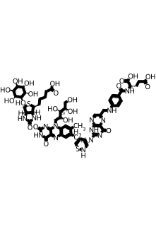 C1=CNSC=C1.Cc1cc2nc3c(=O)[nH]c(=O)nc-3n(C[C@H](O)[C@H](O)[C@H](O)CO)c2cc1C.Nc1nc(=O)c2nc(CNc3ccc(C(=O)N[C@@H](CCC(=O)O)C(=O)O)cc3)cnc2[nH]1.O=C(O)CCCC[C@@H]1SC[C@@H]2NC(=O)N[C@@H]21.O[C@H]1[C@H](O)[C@@H](O)[C@H](O)[C@@H](O)[C@H]1O